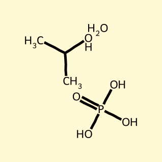 CC(C)O.O.O=P(O)(O)O